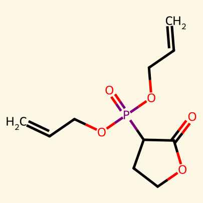 C=CCOP(=O)(OCC=C)C1CCOC1=O